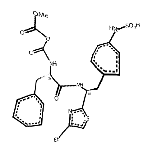 CCc1csc([C@H](Cc2ccc(NS(=O)(=O)O)cc2)NC(=O)[C@H](Cc2ccccc2)NC(=O)OC(=O)OC)n1